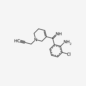 C#CCN1CCC=C(C(=N)c2cccc(Cl)c2N)C1